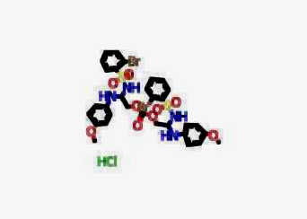 COc1ccc(NC(COC(=O)OCC(Nc2ccc(OC)cc2)NS(=O)(=O)c2ccccc2Br)NS(=O)(=O)c2ccccc2Br)cc1.Cl